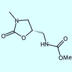 COC(=O)NC[C@H]1CN(C)C(=O)O1